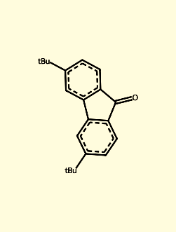 CC(C)(C)c1ccc2c(c1)-c1cc(C(C)(C)C)ccc1C2=O